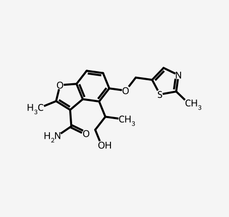 Cc1ncc(COc2ccc3oc(C)c(C(N)=O)c3c2C(C)CO)s1